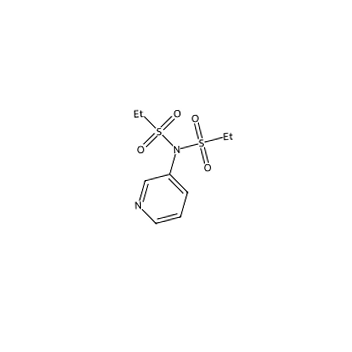 CCS(=O)(=O)N(c1cccnc1)S(=O)(=O)CC